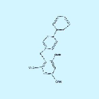 COc1cc(OC)c([I+]c2ccc(-c3ccccc3)cc2)c(OC)c1